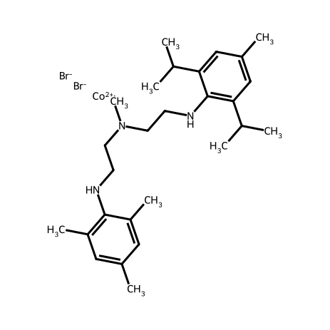 Cc1cc(C)c(NCCN(C)CCNc2c(C(C)C)cc(C)cc2C(C)C)c(C)c1.[Br-].[Br-].[Co+2]